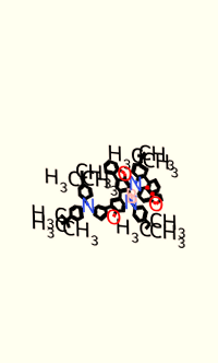 CC(C)(C)c1ccc(N2B3c4cc5occc5cc4N(c4ccc(C(C)(C)C)cc4-c4ccccc4)c4c3c(cc3c4oc4ccccc43)-c3cc4c(cc32)oc2ccc(N(c3ccc(C(C)(C)C)cc3)c3ccc(C(C)(C)C)cc3)cc24)cc1